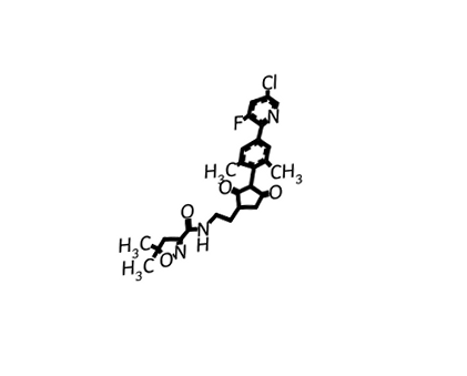 Cc1cc(-c2ncc(Cl)cc2F)cc(C)c1C1C(=O)CC(CCNC(=O)C2=NOC(C)(C)C2)C1=O